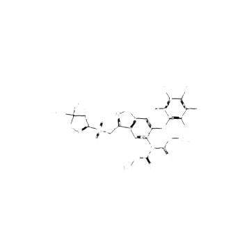 CC(C)(C)OC(=O)N(C(=O)OC(C)(C)C)c1cc2c(CS(=O)(=O)C3=NOC(C)(C)C3)noc2cc1Oc1c(F)c(F)c(F)c(F)c1F